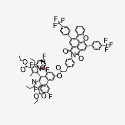 CCOC(=O)C1=C(C)/C(=C(\c2c(-c3cc(F)cc(F)c3)cc(OC(=O)Cc3ccc(-n4c(=O)c5cc(-c6ccc(C(F)(F)F)cc6)c6oc7ccccc7c7c(-c8ccc(C(F)(F)F)cc8)cc(c4=O)c5c67)cc3)cc2-c2cc(F)cc(F)c2)c2c(C)c(C(=O)OCC)c(CC)n2BF)N=C1CC